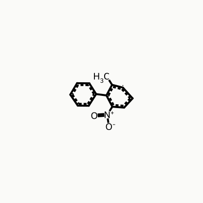 Cc1[c]ccc([N+](=O)[O-])c1-c1ccccc1